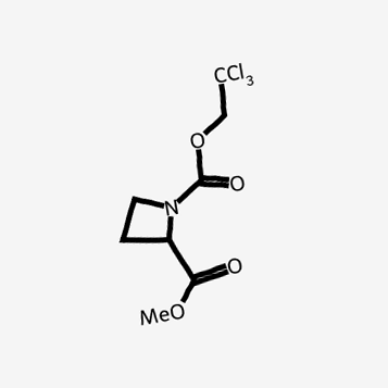 COC(=O)C1CCN1C(=O)OCC(Cl)(Cl)Cl